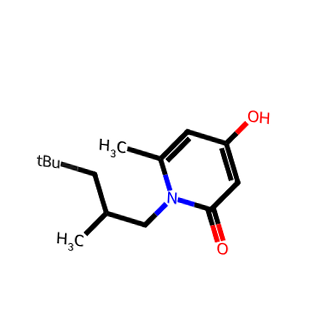 Cc1cc(O)cc(=O)n1CC(C)CC(C)(C)C